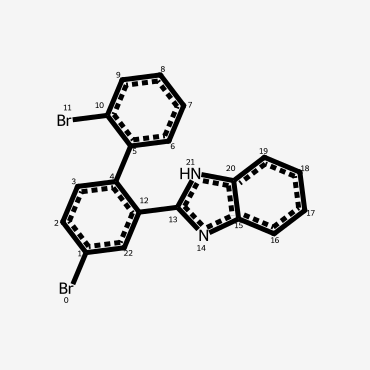 Brc1ccc(-c2ccccc2Br)c(-c2nc3ccccc3[nH]2)c1